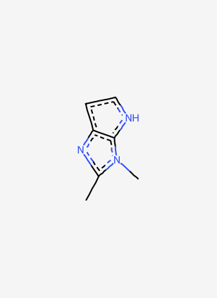 Cc1nc2cc[nH]c2n1C